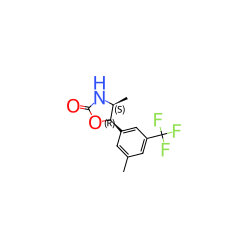 Cc1cc([C@H]2OC(=O)N[C@H]2C)cc(C(F)(F)F)c1